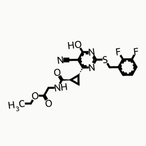 CCOC(=O)CNC(=O)[C@@H]1C[C@H]1c1nc(SCc2cccc(F)c2F)nc(O)c1C#N